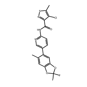 Cc1cc2c(cc1-c1ccc(NC(=O)c3nsc(C)c3Cl)nc1)OC(F)(F)O2